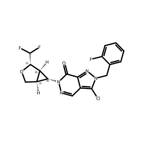 O=c1c2nn(Cc3ccccc3F)c(Cl)c2cnn1[C@@H]1[C@H]2CO[C@H](C(F)F)[C@H]21